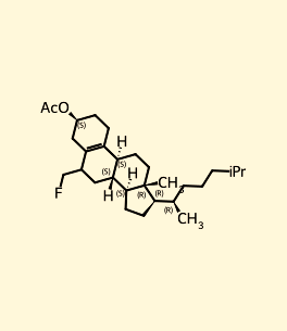 CC(=O)O[C@H]1CCC2=C(C1)C(CF)C[C@@H]1[C@@H]2CC[C@]2(C)[C@@H]([C@H](C)CCCC(C)C)CC[C@@H]12